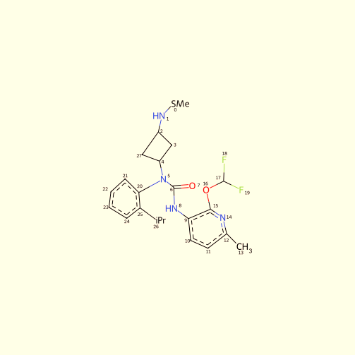 CSNC1CC(N(C(=O)Nc2ccc(C)nc2OC(F)F)c2ccccc2C(C)C)C1